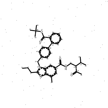 CCCc1nc2c(C)cc(C(=O)NCC(C(C)=O)C(C)C)cc2n1Cc1ccc(-c2ccccc2C(=O)OC(C)(C)C)cc1